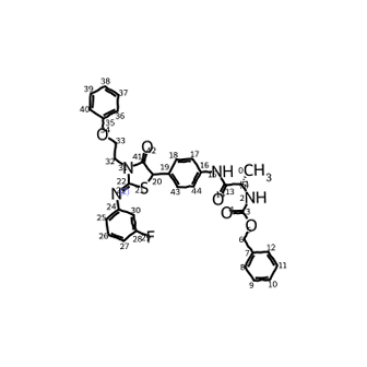 C[C@H](NC(=O)OCc1ccccc1)C(=O)Nc1ccc(C2S/C(=N\c3cccc(F)c3)N(CCOc3ccccc3)C2=O)cc1